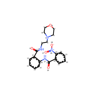 O=C(NCCN1CCOCC1)c1ccccc1NC(=O)c1ccccc1[N+](=O)[O-]